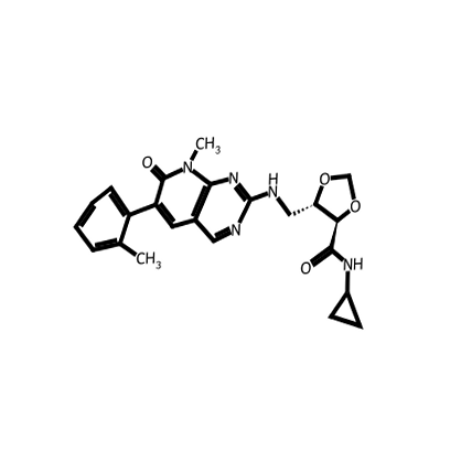 Cc1ccccc1-c1cc2cnc(NC[C@@H]3OCO[C@H]3C(=O)NC3CC3)nc2n(C)c1=O